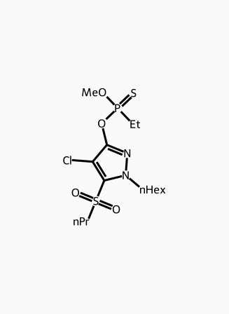 CCCCCCn1nc(OP(=S)(CC)OC)c(Cl)c1S(=O)(=O)CCC